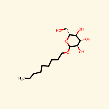 CCCCCCCCCOC1O[C@H](CO)[C@@H](O)[C@H](O)[C@H]1O